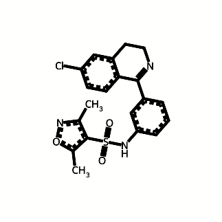 Cc1noc(C)c1S(=O)(=O)Nc1cccc(C2=NCCc3cc(Cl)ccc32)c1